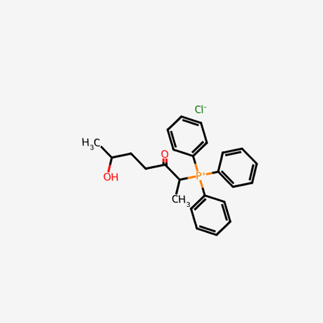 CC(O)CCC(=O)C(C)[P+](c1ccccc1)(c1ccccc1)c1ccccc1.[Cl-]